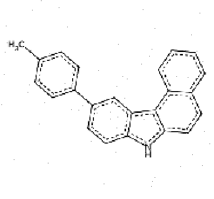 Cc1ccc(-c2ccc3[nH]c4ccc5ccccc5c4c3c2)cc1